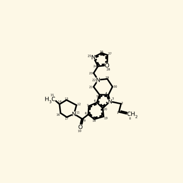 C=CCn1c2c(c3cc(C(=O)N4CCC(C)CC4)ccc31)CN(Cc1ncco1)CC2